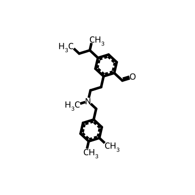 CCC(C)c1ccc(C=O)c(CCN(C)Cc2ccc(C)c(C)c2)c1